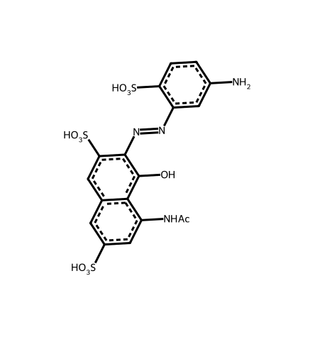 CC(=O)Nc1cc(S(=O)(=O)O)cc2cc(S(=O)(=O)O)c(N=Nc3cc(N)ccc3S(=O)(=O)O)c(O)c12